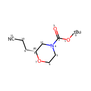 CC(C)(C)OC(=O)N1CCO[C@H](CCC#N)C1